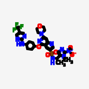 CC(NS(=O)(=O)c1cnc2cc(N3CCOCC3)nc(OC3CCC(Nc4ncc(C(F)(F)F)cn4)CC3)c2c1)c1cnc([N+](=O)[O-])n1C